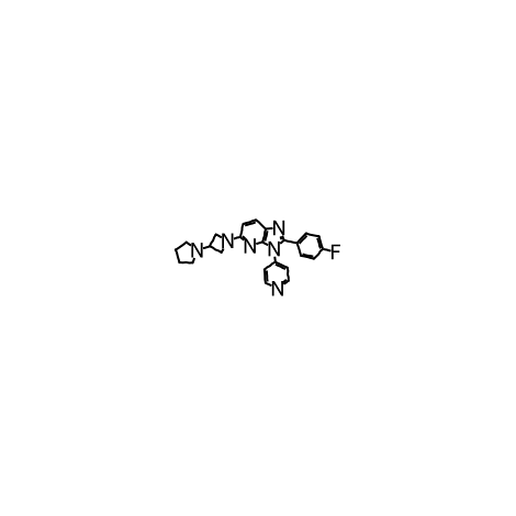 Fc1ccc(-c2nc3ccc(N4CC(N5CCCC5)C4)nc3n2-c2ccncc2)cc1